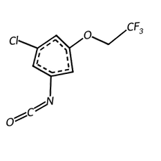 O=C=Nc1cc(Cl)cc(OCC(F)(F)F)c1